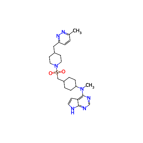 Cc1ccc(CC2CCN(S(=O)(=O)CC3CCC(N(C)c4ncnc5[nH]ccc45)CC3)CC2)nn1